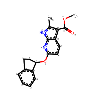 Cc1[nH]c2nc(OC3CCc4ccccc43)ccc2c1C(=O)OC(C)(C)C